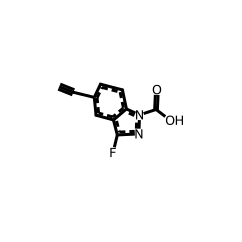 C#Cc1ccc2c(c1)c(F)nn2C(=O)O